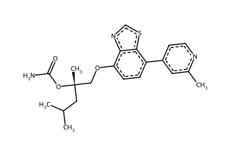 Cc1cc(-c2ccc(OC[C@](C)(CC(C)C)OC(N)=O)c3ncsc23)ccn1